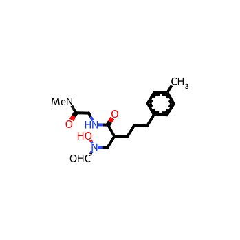 CNC(=O)CNC(=O)C(CCCc1ccc(C)cc1)CN(O)C=O